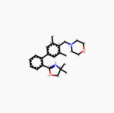 Cc1cc(-c2ccccc2C2=NC(C)(C)CO2)cc(C)c1CN1CCOCC1